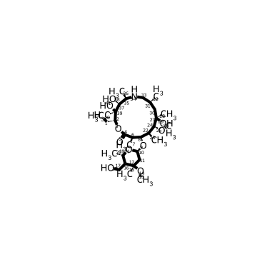 CC[C@H]1OC(=O)[C@H](C)[C@@H](O[C@H]2C[C@@](C)(OC)C(CO)[C@H](C)O2)[C@H](C)[C@@H](OC)[C@](C)(O)C[C@@H](C)CN[C@H](C)[C@@H](O)[C@]1(C)O